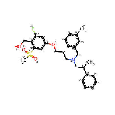 CC(CN(CCCOc1cc(F)c(CO)c(S(C)(=O)=O)c1)Cc1cccc(C(F)(F)F)c1)c1ccccc1